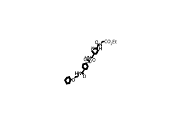 CCOC(=O)CNC(=O)c1ccc(C(=O)NS(=O)(=O)c2ccc(C(=O)NCCOc3ccccc3)cc2)cn1